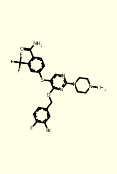 CN1CCN(c2ncc(Sc3ccc(C(N)=O)c(C(F)(F)F)c3)c(OCc3ccc(F)c(Br)c3)n2)CC1